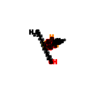 CCCCCCCCCCCCCCCCCCO.O=[PH]([O-])O[PH](=O)[O-].O=[PH]([O-])O[PH](=O)[O-].[Na+].[Na+].[Na+].[Na+]